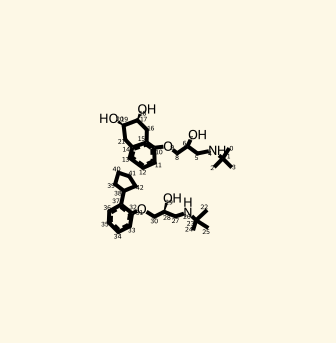 CC(C)(C)NCC(O)COc1cccc2c1C[C@H](O)[C@H](O)C2.CC(C)(C)NC[C@H](O)COc1ccccc1C1CCCC1